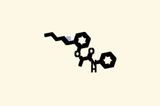 CCC/C=C/c1ccccc1OC(C)C(=O)Nc1ccccc1